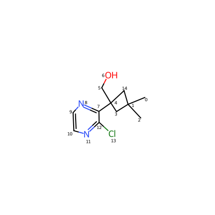 CC1(C)CC(CO)(c2nccnc2Cl)C1